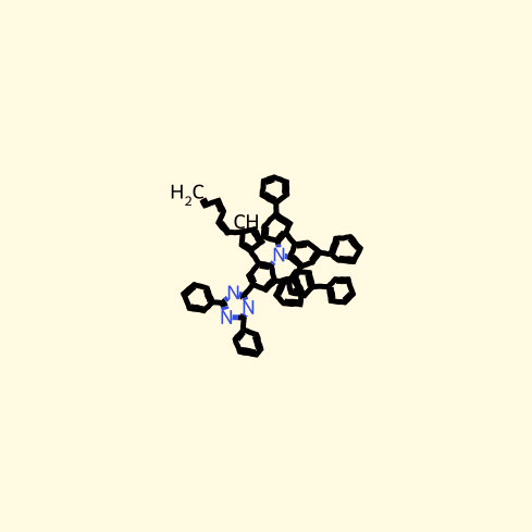 C=C/C=C\C=C/C1(C)C=CC(c2cc(-c3nc(-c4ccccc4)nc(-c4ccccc4)n3)cc(-c3ccc(-c4ccccc4)cc3)c2-n2c3ccc(-c4ccccc4)cc3c3cc(-c4ccccc4)cc(-c4ccccc4)c32)=C1